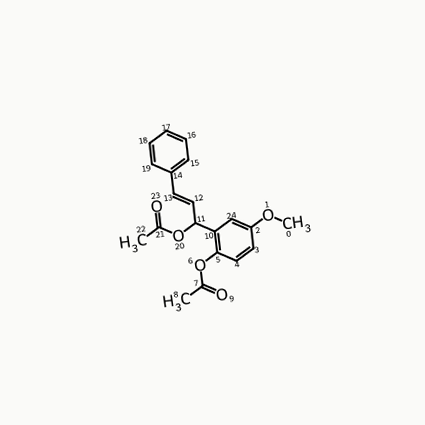 COc1ccc(OC(C)=O)c(C(C=Cc2ccccc2)OC(C)=O)c1